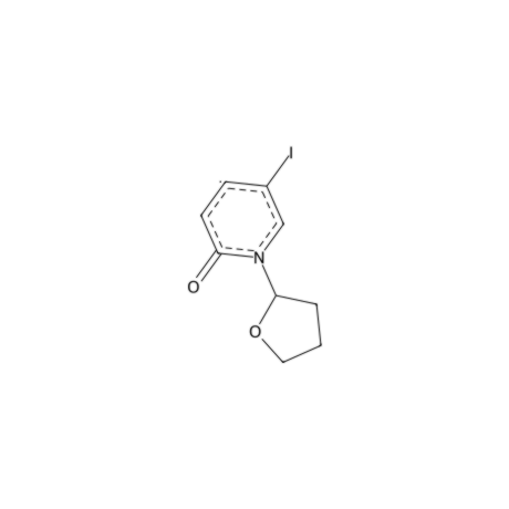 O=c1c[c]c(I)cn1C1CCCO1